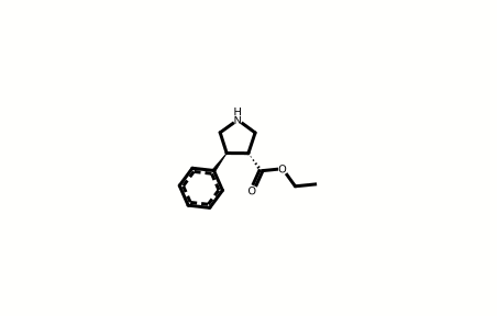 CCOC(=O)[C@H]1CNC[C@@H]1c1ccccc1